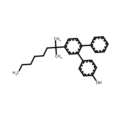 CCCCCCC(C)(C)c1ccc(-c2ccccc2)c(-c2ccc(O)cc2)c1